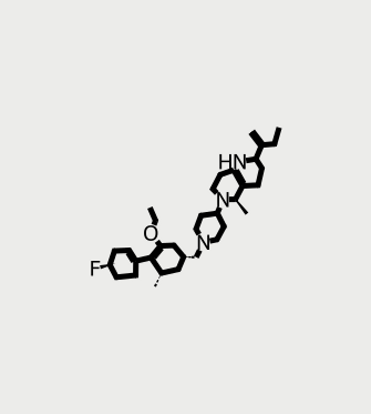 C=C(CC)C1CCC2=C(CCN(C3CCN(C[C@H]4CC(OCC)=C(C5=CC[C@H](F)CC5)[C@@H](C)C4)CC3)[C@@H]2C)N1